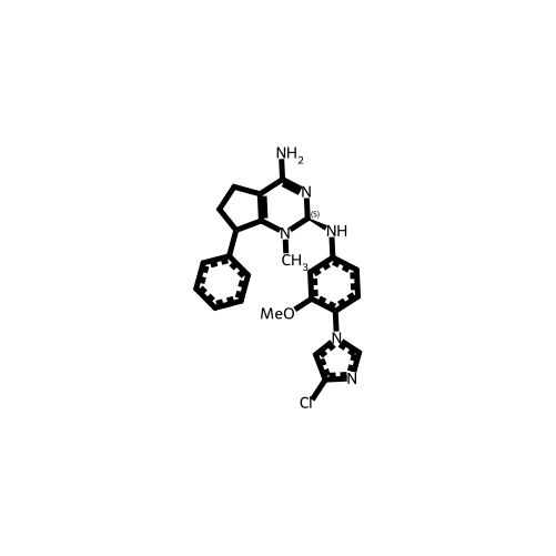 COc1cc(N[C@@H]2N=C(N)C3=C(C(c4ccccc4)CC3)N2C)ccc1-n1cnc(Cl)c1